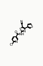 N#Cc1sc(NC(=O)c2ccc(Cl)nc2)nc1-c1ccsc1